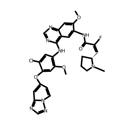 COc1cc2ncnc(Nc3cc(Cl)c(Oc4ccn5ncnc5c4)cc3OC)c2cc1NC(=O)/C(F)=C\[C@H]1CCCN1C